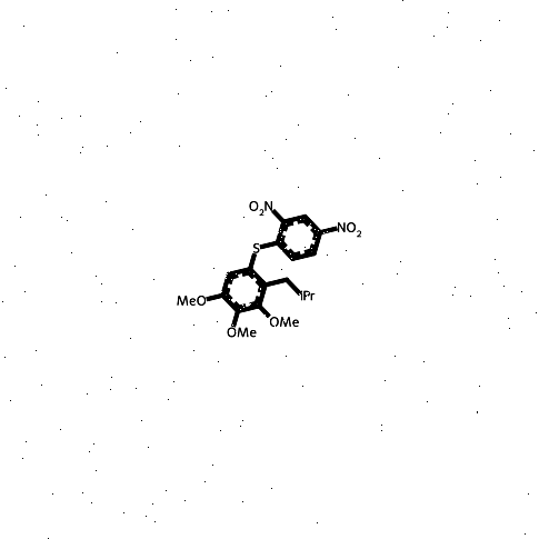 COc1cc(Sc2ccc([N+](=O)[O-])cc2[N+](=O)[O-])c(CC(C)C)c(OC)c1OC